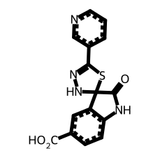 O=C(O)c1ccc2c(c1)C1(NN=C(c3cccnc3)S1)C(=O)N2